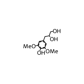 COc1cc(CC(O)CO)cc(OC)c1O